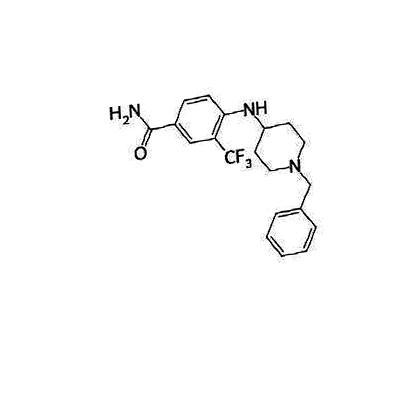 NC(=O)c1ccc(NC2CCN(Cc3ccccc3)CC2)c(C(F)(F)F)c1